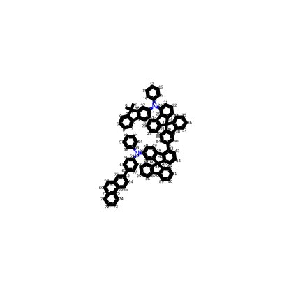 CC1(C)c2ccccc2-c2ccc(N(c3ccccc3)c3cccc4c3-c3ccccc3C43c4ccccc4-c4cc(-c5cccc6c5-c5ccc(N(c7ccccc7)c7ccc(-c8ccc9c(ccc%10ccccc%109)c8)cc7)cc5C65c6ccccc6-c6ccccc65)ccc43)cc21